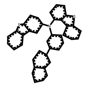 c1cc(-c2ccc3ccccc3c2)cc(N(c2ccc3sc4ccccc4c3c2)c2cccc3sc4ccccc4c23)c1